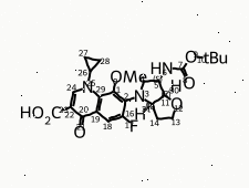 COc1c(N2C[C@H](NC(=O)OC(C)(C)C)[C@H]3OCC[C@H]32)c(F)cc2c(=O)c(C(=O)O)cn(C3CC3)c12